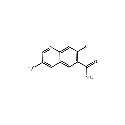 Cc1cnc2cc(Cl)c(C(N)=O)cc2c1